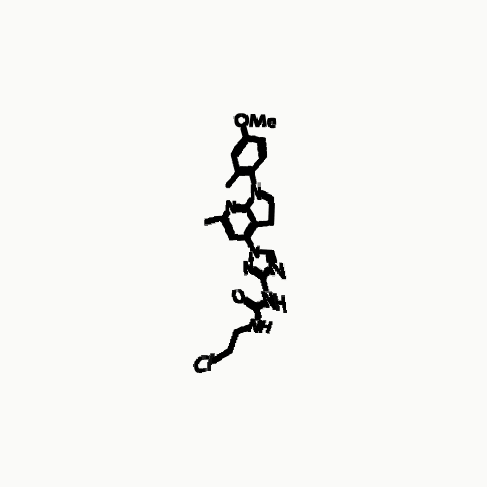 COc1ccc(N2CCc3c(-n4cnc(NC(=O)NCCCl)n4)cc(C)nc32)c(C)c1